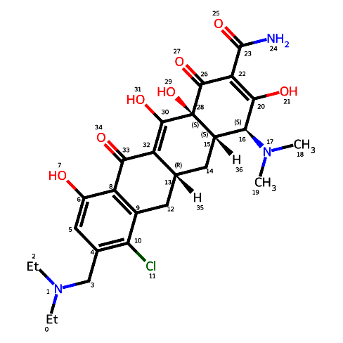 CCN(CC)Cc1cc(O)c2c(c1Cl)C[C@H]1C[C@H]3[C@H](N(C)C)C(O)=C(C(N)=O)C(=O)[C@@]3(O)C(O)=C1C2=O